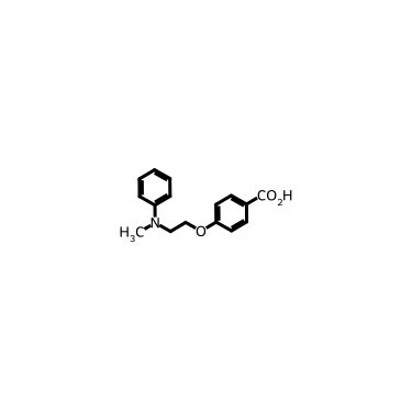 CN(CCOc1ccc(C(=O)O)cc1)c1ccccc1